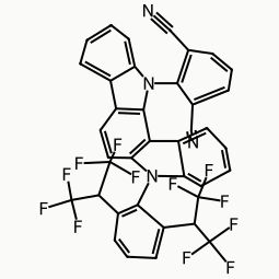 N#Cc1cccc(C#N)c1-n1c2ccccc2c2ccc3c(c4ccccc4n3-c3c(C(C(F)(F)F)C(F)(F)F)cccc3C(C(F)(F)F)C(F)(F)F)c21